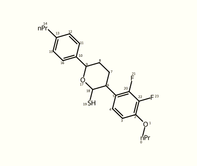 CCCOc1ccc(C2CCC(c3ccc(CCC)cc3)OC2S)c(F)c1F